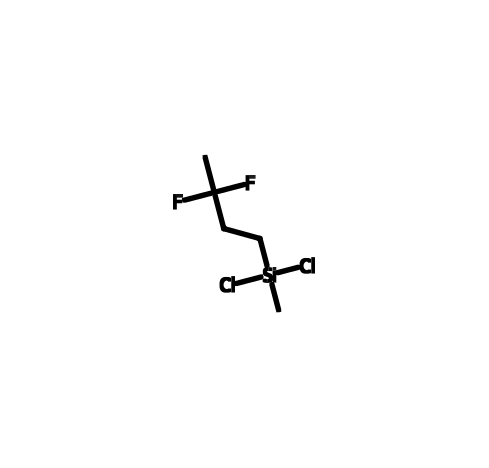 CC(F)(F)CC[Si](C)(Cl)Cl